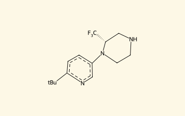 CC(C)(C)c1ccc(N2CCNC[C@H]2C(F)(F)F)cn1